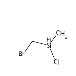 C[SiH](Cl)CBr